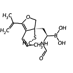 C=C(C)C1=C(/C=C\C)[C@](C[C@H](NC=O)B(O)O)(SC)CO1